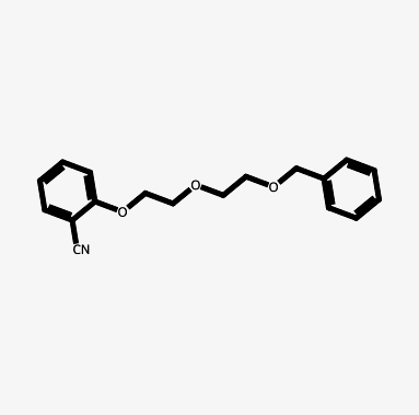 N#Cc1ccccc1OCCOCCOCc1ccccc1